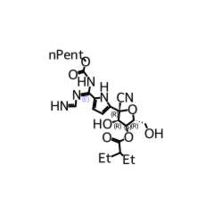 CCCCCOC(=O)N/C(=N/C=N)c1ccc([C@]2(C#N)O[C@H](CO)[C@@H](OC(=O)C(CC)CC)[C@H]2O)[nH]1